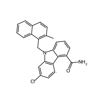 Cc1ccc2ccccc2c1Cn1c2cc(Cl)c[c]c2c2c(C(N)=O)cccc21